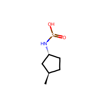 C[C@@H]1CC[C@@H](NS(=O)O)C1